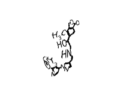 COc1cc(-n2cc(CNCC(O)c3ccc4c(c3C)COC4=O)cn2)ccn1